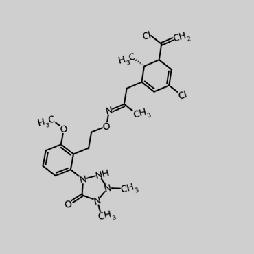 C=C(Cl)C1C=C(Cl)C=C(C/C(C)=N/OCCc2c(OC)cccc2N2NN(C)N(C)C2=O)[C@@H]1C